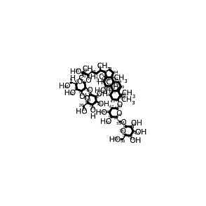 C[C@H](CC[C@@H](O[C@@H]1O[C@H](CO)[C@@H](O)[C@H](O)[C@H]1O[C@@H]1O[C@H](CO)[C@@H](O)[C@H](O)[C@H]1O)C(C)(C)O)[C@H]1CC[C@@]2(C)[C@H]3CC=C4[C@@H](CC[C@H](O[C@H]5C[C@@H](O)[C@H](O)[C@@H](CO[C@@H]6O[C@H](CO)[C@@H](O)[C@H](O)[C@H]6O)O5)C4(C)C)[C@]3(C)[C@H](O)C[C@]12C